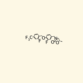 C[C@@H]1CN(Cc2ccc(OCc3ccc(C(F)(F)F)cc3F)c(F)c2)C(=O)O1